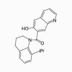 CC(C)c1cccc2c1N(C(=O)c1cc3ncccc3cc1O)CCC2